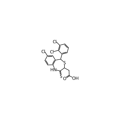 O=C(O)CC1SC(c2cccc(Cl)c2Cl)c2cc(Cl)ccc2NC1=S